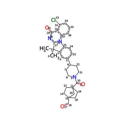 CC1(C)c2cc(C3CCN(C(=O)C45CCC(C=O)(CC4)C5)CC3)ccc2-n2c1nc(=O)c1c(Cl)cccc12